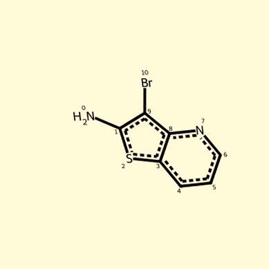 Nc1sc2cccnc2c1Br